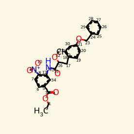 CCOC(=O)c1ccc([N+](=O)[O-])c(NC(=O)C(Cc2ccc(OCc3ccccc3)cc2)OC)c1